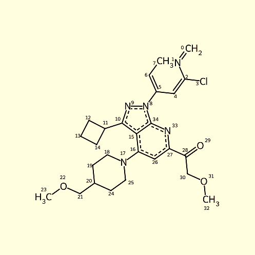 C=N/C(Cl)=C\C(=C/C)n1nc(C2CCC2)c2c(N3CCC(COC)CC3)cc(C(=O)COC)nc21